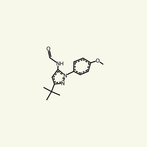 COc1ccc(-n2nc(C(C)(C)C)cc2NC=O)cc1